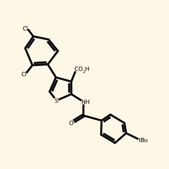 CC(C)(C)c1ccc(C(=O)Nc2scc(-c3ccc(Cl)cc3Cl)c2C(=O)O)cc1